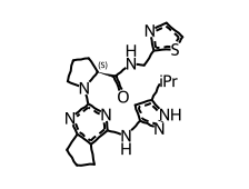 CC(C)c1cc(Nc2nc(N3CCC[C@H]3C(=O)NCc3nccs3)nc3c2CCC3)n[nH]1